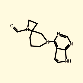 O=CN1CCC12CCCN(c1ncnc3[nH]ccc13)C2